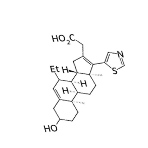 CCC1C=C2CC(O)CC[C@]2(C)[C@@H]2CC[C@]3(C)C(c4cncs4)=C(CC(=O)O)C[C@H]3[C@H]12